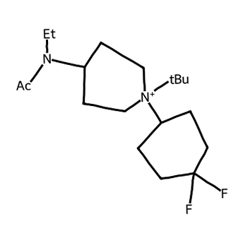 CCN(C(C)=O)C1CC[N+](C2CCC(F)(F)CC2)(C(C)(C)C)CC1